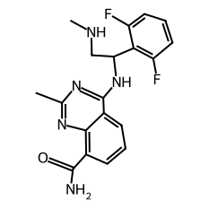 CNCC(Nc1nc(C)nc2c(C(N)=O)cccc12)c1c(F)cccc1F